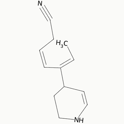 C/C=C(\C=C/CC#N)C1C=CNCC1